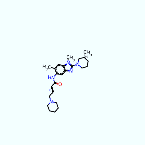 Cc1cc2c(cc1NC(=O)/C=C/CN1CCCCC1)nc(N1CCC[C@@H](C)C1)n2C